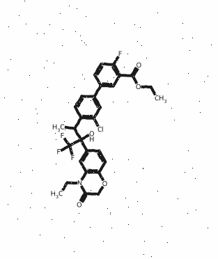 CCOC(=O)c1cc(-c2ccc(C(C)C(O)(c3ccc4c(c3)N(CC)C(=O)CO4)C(F)(F)F)c(Cl)c2)ccc1F